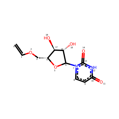 C=COC[C@H]1OC(n2ccc(=O)[nH]c2=O)[C@@H](O)[C@@H]1O